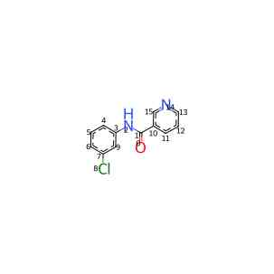 O=C(Nc1cccc(Cl)c1)c1cccnc1